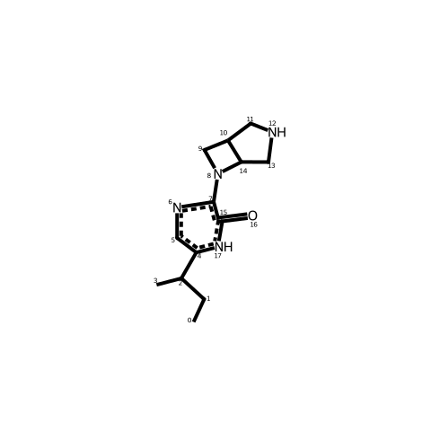 CCC(C)c1cnc(N2CC3CNCC32)c(=O)[nH]1